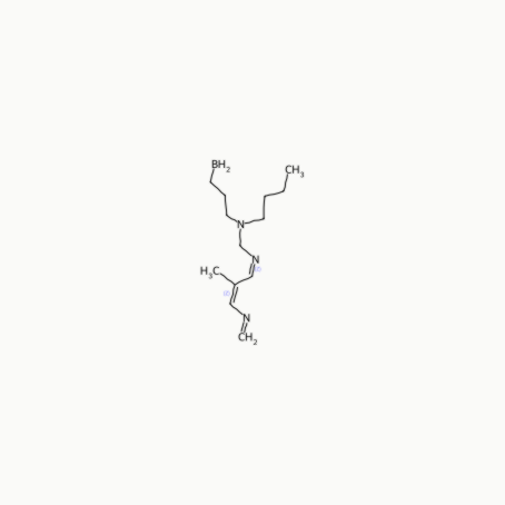 BCCCN(CCCC)C/N=C\C(C)=C/N=C